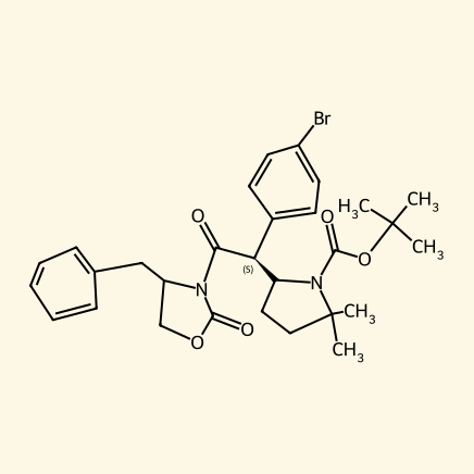 CC(C)(C)OC(=O)N1C([C@@H](C(=O)N2C(=O)OCC2Cc2ccccc2)c2ccc(Br)cc2)CCC1(C)C